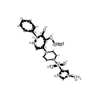 CCCCCCCOc1c(N2CCN(S(=O)(=O)c3cn(C)cn3)CC2)cnn(-c2ccccc2)c1=O